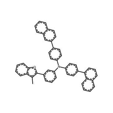 Cc1c(-c2cccc(N(c3ccc(-c4ccc5ccccc5c4)cc3)c3ccc(-c4cccc5ccccc45)cc3)c2)oc2ccccc12